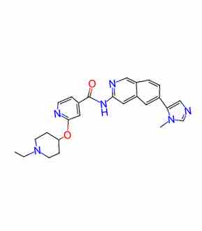 CCN1CCC(Oc2cc(C(=O)Nc3cc4cc(-c5cncn5C)ccc4cn3)ccn2)CC1